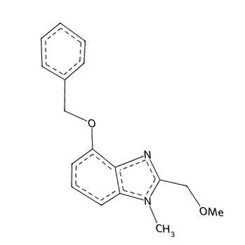 COCc1nc2c(OCc3ccccc3)cccc2n1C